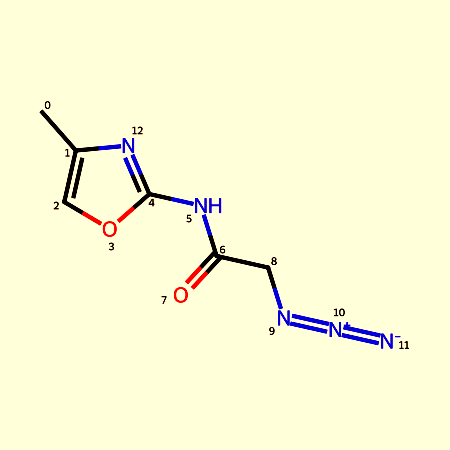 Cc1coc(NC(=O)CN=[N+]=[N-])n1